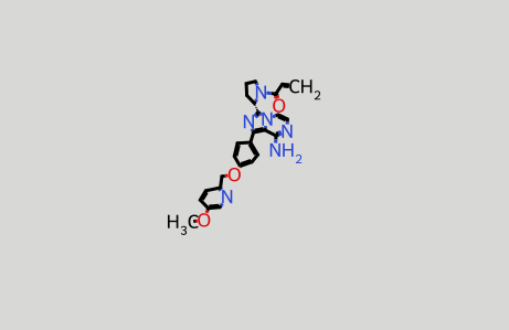 C=CC(=O)N1CCC[C@H]1c1nc(-c2ccc(OCc3ccc(OC)cn3)cc2)c2c(N)nccn12